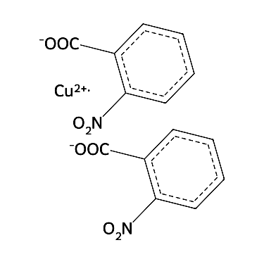 O=C([O-])c1ccccc1[N+](=O)[O-].O=C([O-])c1ccccc1[N+](=O)[O-].[Cu+2]